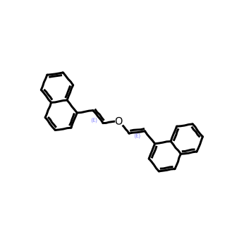 C(=C\c1cccc2ccccc12)/O/C=C/c1cccc2ccccc12